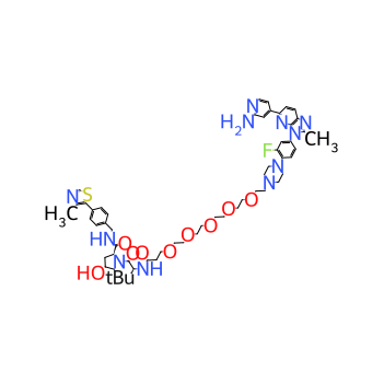 Cc1ncsc1-c1ccc(CNC(=O)[C@@H]2C[C@@H](O)CN2C(=O)[C@@H](NC(=O)CCOCCOCCOCCOCCOCCN2CCN(c3ccc(-n4c(C)nc5ccc(-c6ccnc(N)c6)nc54)cc3F)CC2)C(C)(C)C)cc1